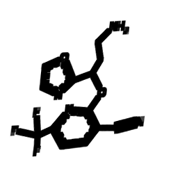 N#Cc1ccc(C(F)(F)F)nc1OC(CCN)c1ncco1